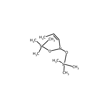 C/C=C\N(O[Si](C)(C)C)O[Si](C)(C)C